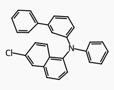 Clc1ccc2c(N(c3ccccc3)c3cccc(-c4ccccc4)c3)cccc2c1